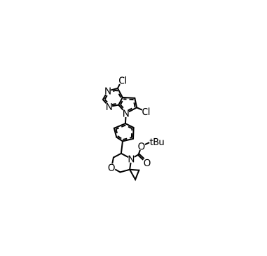 CC(C)(C)OC(=O)N1C(c2ccc(-n3c(Cl)cc4c(Cl)ncnc43)cc2)COCC12CC2